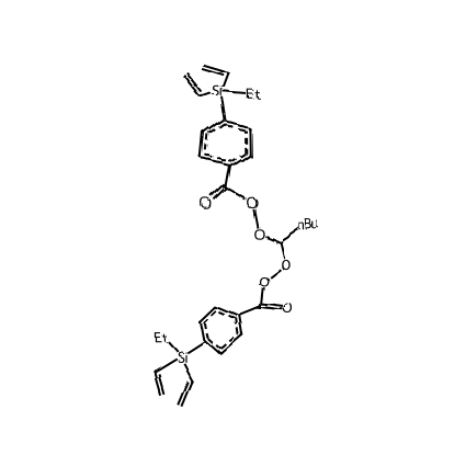 [CH2]CCC[C](OOC(=O)c1ccc([Si](C=C)(C=C)CC)cc1)OOC(=O)c1ccc([Si](C=C)(C=C)CC)cc1